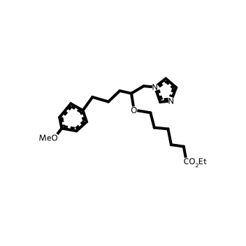 CCOC(=O)CCCCCOC(CCCc1ccc(OC)cc1)Cn1ccnc1